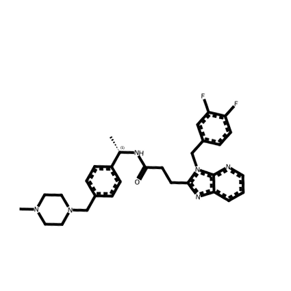 C[C@H](NC(=O)CCc1nc2cccnc2n1Cc1ccc(F)c(F)c1)c1ccc(CN2CCN(C)CC2)cc1